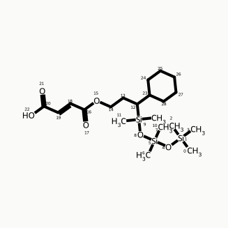 C[Si](C)(C)O[Si](C)(C)O[Si](C)(C)C(CCOC(=O)C=CC(=O)O)C1CCCCC1